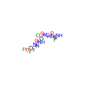 Cn1c(-c2ccc(OCF)c(F)c2F)cnc1C(=O)Nc1ccc(C(=O)N2CCC(C(=O)N[C@H]3CNC[C@H]3F)CC2)c(Cl)c1